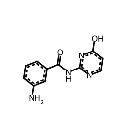 Nc1cccc(C(=O)Nc2nccc(O)n2)c1